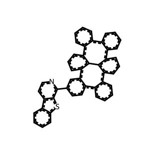 c1ccc2c(c1)sc1c(-c3ccc4c(c3)c3cccc5c3-c3c(cccc3c3ccccc34)c3ccccc3c3ccccc53)nccc12